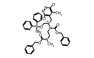 Cc1c(Cl)nnc(Cl)c1C[C@H](CO[Si](c1ccccc1)(c1ccccc1)C(C)(C)C)N(CCN(C)C(=O)OCc1ccccc1)C(=O)OCc1ccccc1